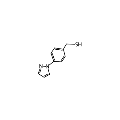 SCc1ccc(-n2cccn2)cc1